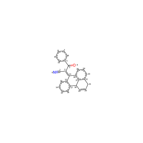 N#C/C(C(=O)c1ccccc1)=C1\c2ccccc2C2C=CCc3cccc1c32